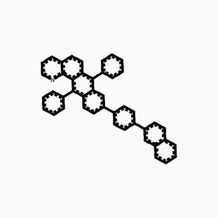 c1ccc(-c2c3cc(-c4ccc(-c5ccc6ccccc6c5)cc4)ccc3c(-c3ccccc3)c3c2ccc2cccnc23)cc1